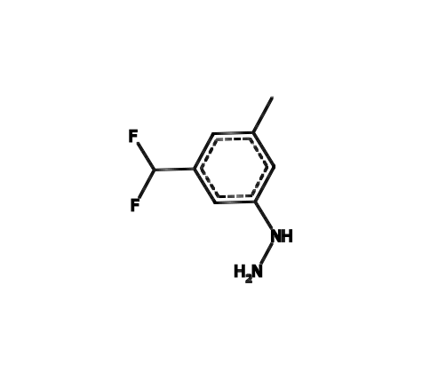 Cc1cc(NN)cc(C(F)F)c1